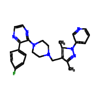 Cc1nn(-c2cccnc2)c(C)c1CN1CCN(c2nccnc2-c2ccc(F)cc2)CC1